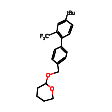 CC(C)(C)c1ccc(-c2ccc(COC3CCCCO3)cc2)c(C(F)(F)F)c1